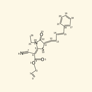 C=CCOC(=O)/C(C#N)=c1\sc(=C=C/C=C/c2ccccc2)c(=O)n1CC